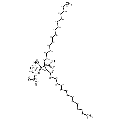 CCCCCCCCCCCCCCCCC(CCCCCCCCCCCCCCCC)(C(=O)O)C(=O)O.[Li+].[Li+].[Li+].[O-]B([O-])[O-]